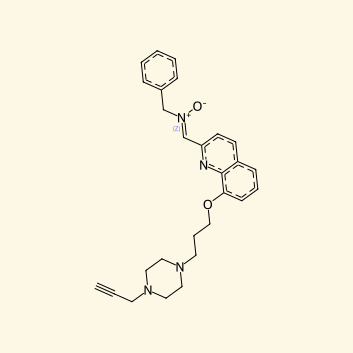 C#CCN1CCN(CCCOc2cccc3ccc(/C=[N+](\[O-])Cc4ccccc4)nc23)CC1